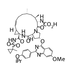 COc1ccc2c(O[C@@H]3C[C@H]4C(=O)N[C@]5(C(=O)NS(=O)(=O)C6(C)CC6)C[C@H]5C=CCC[C@H](C)C[C@@H](C)[C@H](NC(=O)O)C(=O)N4C3)nc(-c3ccc(OC(C)C)cc3)nc2c1